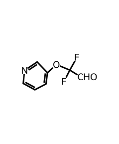 O=CC(F)(F)Oc1cccnc1